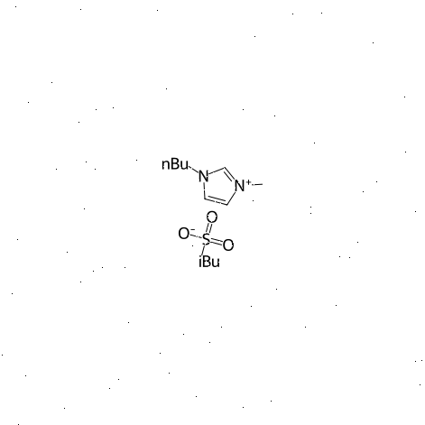 CCC(C)S(=O)(=O)[O-].CCCCn1cc[n+](C)c1